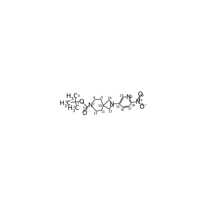 CC(C)(C)OC(=O)N1CCC2(CC1)CN(c1ccc([N+](=O)[O-])nc1)C2